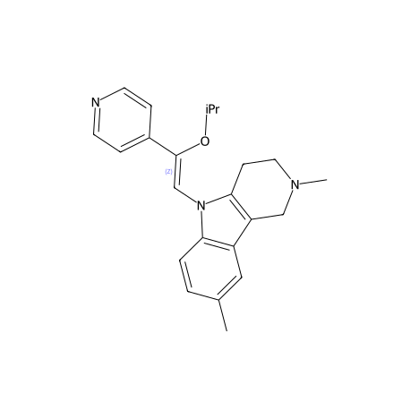 Cc1ccc2c(c1)c1c(n2/C=C(\OC(C)C)c2ccncc2)CCN(C)C1